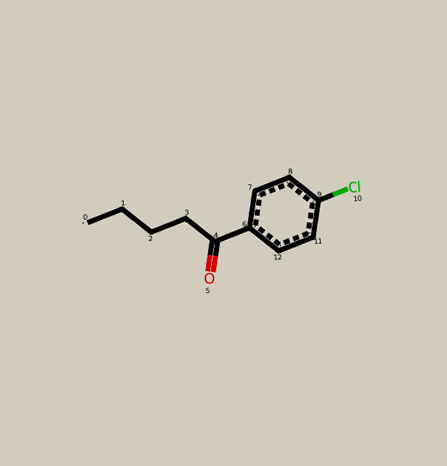 [CH2]CC[CH]C(=O)c1ccc(Cl)cc1